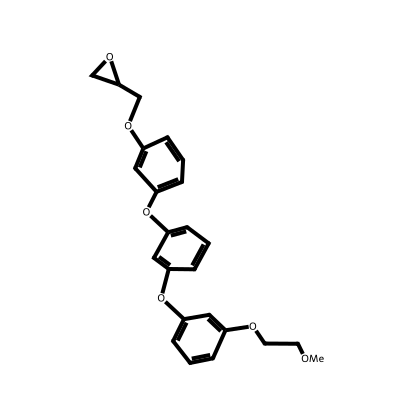 COCCOc1cccc(Oc2cccc(Oc3cccc(OCC4CO4)c3)c2)c1